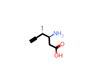 C#C[C@H](C)[C@@H](N)CC(=O)O